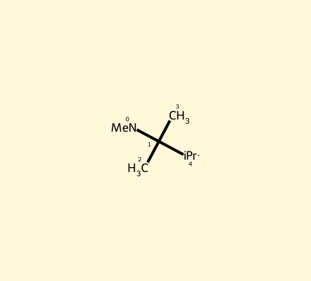 CNC(C)(C)[C](C)C